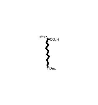 CCCCCCCCCCCCCCCCCCCC(CCCCCC)C(=O)O